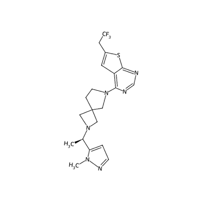 C[C@H](c1ccnn1C)N1CC2(CCN(c3ncnc4sc(CC(F)(F)F)cc34)C2)C1